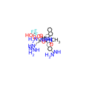 CN(C)C(=O)C(Cc1ccc(C(=N)N)cc1)C(=O)N[C@@H](Cc1cccc2ccccc12)C(=O)N[C@@H](CCCNC(=N)N)C(N)=O.O=C(O)C(F)(F)F